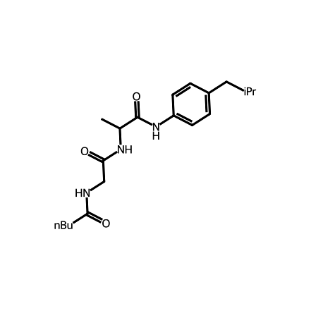 CCCCC(=O)NCC(=O)NC(C)C(=O)Nc1ccc(CC(C)C)cc1